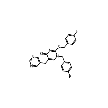 O=c1nc(SCc2ccc(F)cc2)n(Cc2ccc(F)cc2)cc1Cc1cncnc1